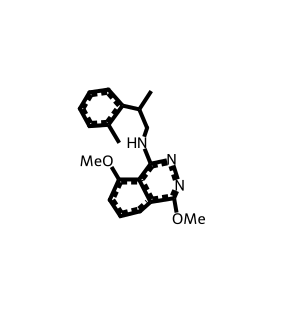 COc1nnc(NCC(C)c2ccccc2C)c2c(OC)cccc12